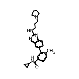 Cc1ccc(C(=O)NC2CC2)cc1-c1ccc2nc(NCCCN3CCCC3)ncc2c1